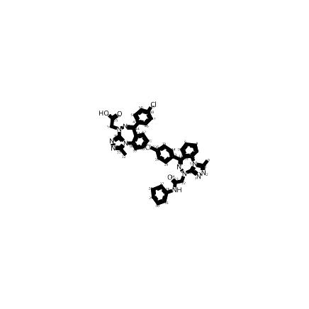 Cc1nnc2n1-c1ccccc1C(c1ccc(Cl)cc1)=NN2CC(=O)Nc1ccccc1.Cc1nnc2n1-c1ccccc1C(c1ccc(Cl)cc1)=NN2CC(=O)O